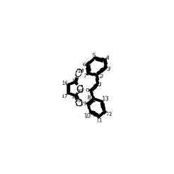 C(=C\c1ccccc1)/c1ccccc1.O=C1C=CC(=O)O1